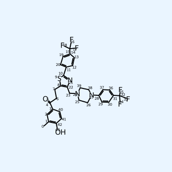 Cc1cc(C(=O)CCc2sc(-c3ccc(C(F)(F)F)cc3)nc2CN2CCN(c3ccc(C(F)(F)F)cc3)CC2)ccc1O